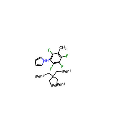 CCCC(C)C[B-](CC(C)CCC)(CC(C)CCC)CC(C)CCC.Cc1c(F)c(F)c(F)c([NH+]2C=CC=C2)c1F